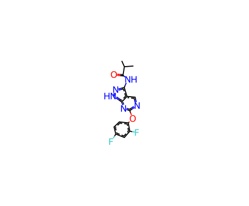 CC(C)C(=O)Nc1n[nH]c2nc(Oc3ccc(F)cc3F)ncc12